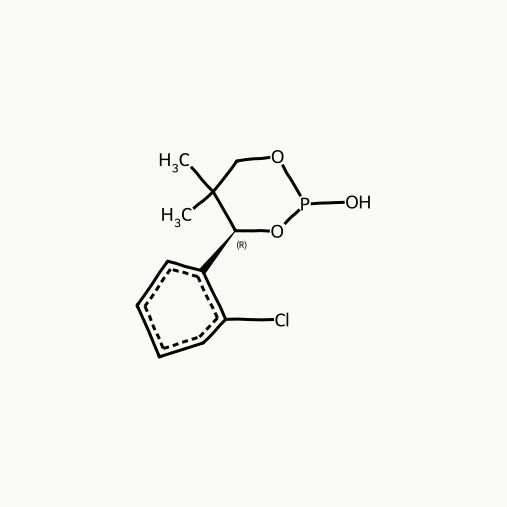 CC1(C)COP(O)O[C@H]1c1ccccc1Cl